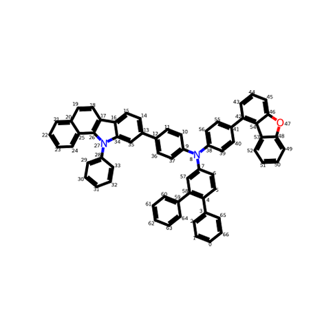 c1ccc(-c2ccc(N(c3ccc(-c4ccc5c6ccc7ccccc7c6n(-c6ccccc6)c5c4)cc3)c3ccc(-c4cccc5oc6ccccc6c45)cc3)cc2-c2ccccc2)cc1